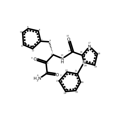 NC(=O)C(=O)[C@H](Cc1ccccc1)NC(=O)c1nccn1-c1ccccc1